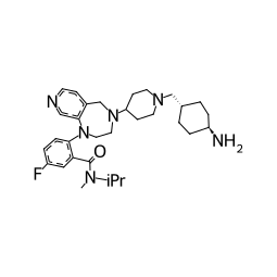 CC(C)N(C)C(=O)c1cc(F)ccc1N1CCN(C2CCN(C[C@H]3CC[C@H](N)CC3)CC2)Cc2ccncc21